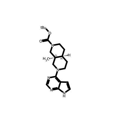 CC(C)(C)OC(=O)N1CC[C@H]2CCN(c3ncnc4[nH]ccc34)C[C@@]2(C)C1